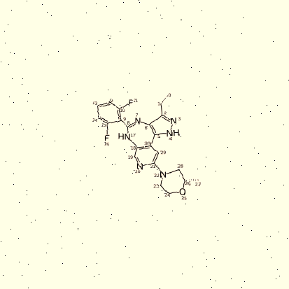 CCc1n[nH]c2c1N=C(c1c(F)cccc1F)Nc1cnc(N3CCO[C@@H](C)C3)cc1-2